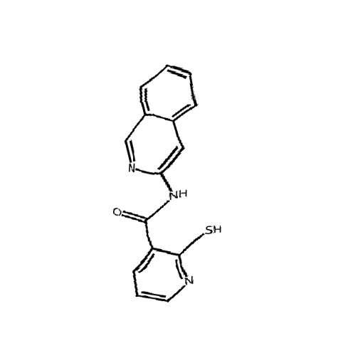 O=C(Nc1cc2ccccc2cn1)c1cccnc1S